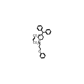 O=C(O)C=CC(=O)O.c1ccc(OCCCCN2CCC(C(c3ccccc3)c3ccccc3)CC2)cc1